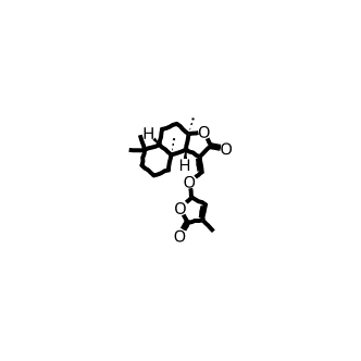 CC1=CC(O/C=C2/C(=O)O[C@]3(C)CC[C@H]4C(C)(C)CCC[C@]4(C)[C@@H]23)OC1=O